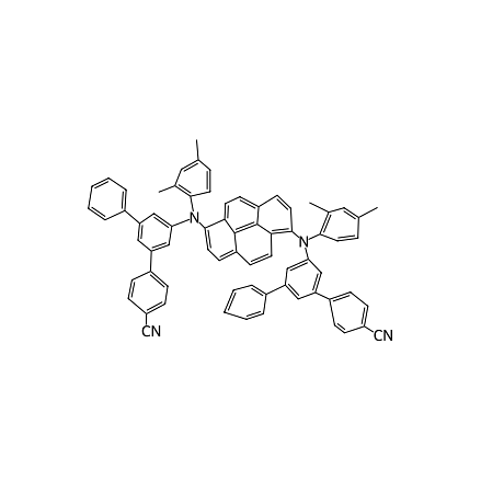 Cc1ccc(N(c2cc(-c3ccccc3)cc(-c3ccc(C#N)cc3)c2)c2ccc3ccc4c(N(c5cc(-c6ccccc6)cc(-c6ccc(C#N)cc6)c5)c5ccc(C)cc5C)ccc5ccc2c3c54)c(C)c1